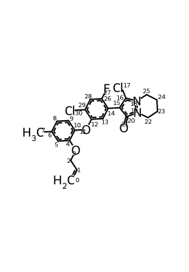 C=CCOc1cc(C)ccc1Oc1cc(-c2c(Cl)n3n(c2=O)CCCC3)c(F)cc1Cl